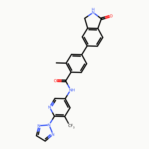 Cc1cc(-c2ccc3c(c2)CNC3=O)ccc1C(=O)Nc1cnc(-n2nccn2)c(C(F)(F)F)c1